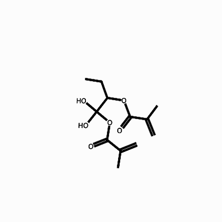 C=C(C)C(=O)OC(CC)C(O)(O)OC(=O)C(=C)C